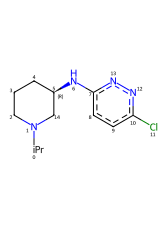 CC(C)N1CCC[C@@H](Nc2ccc(Cl)nn2)C1